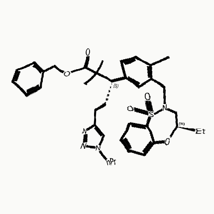 CCCn1cc(CC[C@@H](c2ccc(C)c(CN3C[C@@H](CC)Oc4ccccc4S3(=O)=O)c2)C(C)(C)C(=O)OCc2ccccc2)nn1